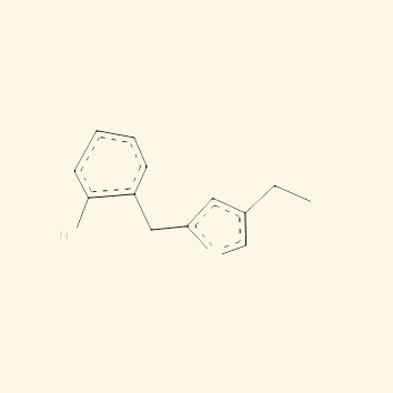 N#Cc1ccccc1Cc1cc(CO)co1